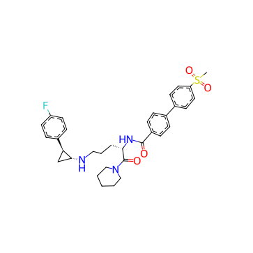 CS(=O)(=O)c1ccc(-c2ccc(C(=O)N[C@@H](CCCN[C@@H]3C[C@H]3c3ccc(F)cc3)C(=O)N3CCCCC3)cc2)cc1